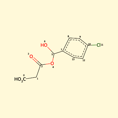 O=C(O)CC(=O)OC(O)c1ccc(Cl)cc1